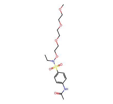 CCN(OCCOCCOCCOC)S(=O)(=O)c1ccc(NC(C)=O)cc1